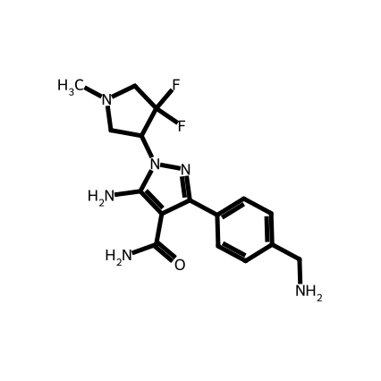 CN1CC(n2nc(-c3ccc(CN)cc3)c(C(N)=O)c2N)C(F)(F)C1